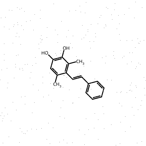 Cc1cc(O)c(O)c(C)c1C=Cc1ccccc1